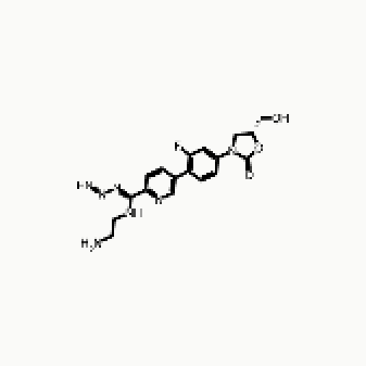 N=N/N=C(\NCCN)c1ccc(-c2ccc(N3C[C@H](CO)OC3=O)cc2F)cn1